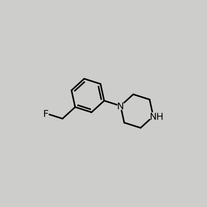 FCc1cccc(N2CCNCC2)c1